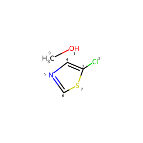 CO.Clc1cn[c]s1